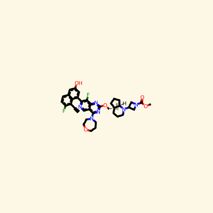 C#Cc1c(F)ccc2cc(O)cc(-c3ncc4c(N5CCCOCC5)nc(OC[C@]56CCC[C@H]5N(C5CN(C(=O)OC)C5)CCC6)nc4c3F)c12